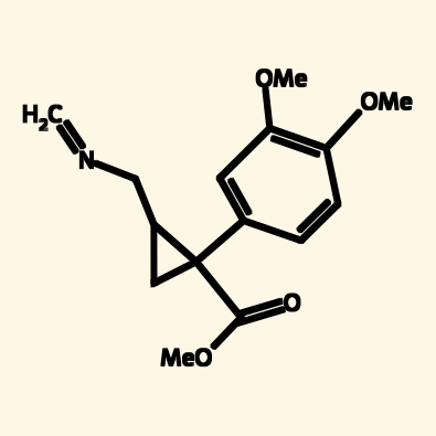 C=NCC1CC1(C(=O)OC)c1ccc(OC)c(OC)c1